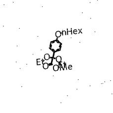 CCCCCCOc1ccc(C(OCC)(OCC)C(=O)OC)cc1